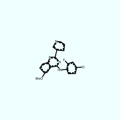 COc1ccc2nc(-c3cccnc3)nc(Nc3ccc(Cl)cc3F)c2c1